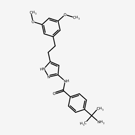 COc1cc(CCc2cc(NC(=O)c3ccc(C(C)(C)N)cc3)n[nH]2)cc(OC)c1